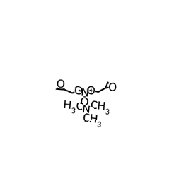 CN(C)C.O=[N+](OCC1CO1)OCC1CO1